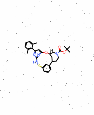 Cc1cccc(C)c1-c1cc2nc(n1)NSc1cccc(c1)C1CCN(C(=O)OC(C)(C)C)C[C@@H](C1)O2